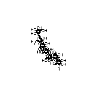 C[C@@H]1OC(CC[C@@H]2CC(CO)[C@@H](O)[C@H](O)C2O)[C@@H](O)[C@H](O[C@@H]2OC(CO)[C@@H](O)[C@H](O[C@@H]3OC(CO)[C@@H](O)[C@H](O[C@@H]4OC(CO)[C@@H](O)[C@H](O[C@@H]5OC(CO)[C@@H](O)[C@H](O[C@@H]6OC(CO)[C@@H](O)[C@H](O)C6O)C5O)C4O)C3O)C2O)C1O